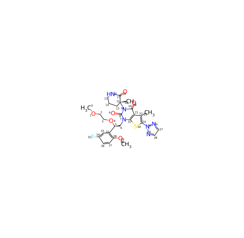 COCCO[C@@H](Cn1c(=O)n([C@]2(C)CCCNC2=O)c(=O)c2c(C)c(-n3nccn3)sc21)c1cc(F)ccc1OC